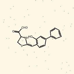 O=CC(=O)C1CSC(=Cc2ccc(-c3ccccc3)cc2O)N1